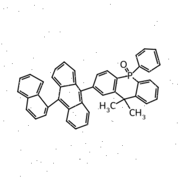 CC1(C)c2ccccc2P(=O)(c2ccccc2)c2ccc(-c3c4ccccc4c(-c4cccc5ccccc45)c4ccccc34)cc21